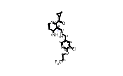 NC1C=CN=C(C(=O)C2CC2)/C1=C/NCc1cnc(OCCC(F)(F)F)c(Cl)c1